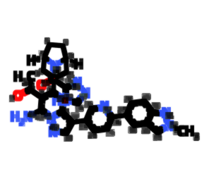 CC(=O)c1c([C@H]2C[C@H]3CC[C@@H](C2)N3C(=O)c2nnc[nH]2)nc2c(-c3ccc(-c4ccc5nn(C)cc5c4)nc3)cnn2c1N